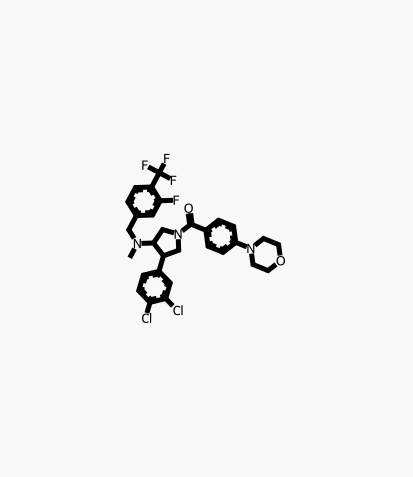 CN(Cc1ccc(C(F)(F)F)c(F)c1)C1CN(C(=O)c2ccc(N3CCOCC3)cc2)CC1c1ccc(Cl)c(Cl)c1